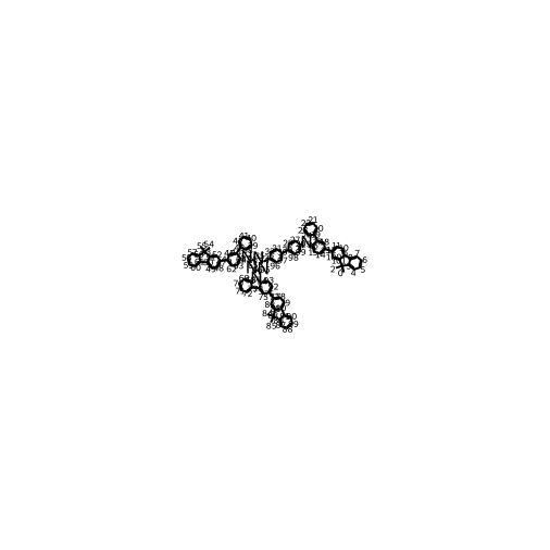 CC1(C)c2ccccc2-c2ccc(-c3ccc4c(c3)c3ccccc3n4-c3ccc(-c4ccc(-c5nc(-n6c7ccccc7c7cc(-c8ccc9c(c8)C(C)(C)c8ccccc8-9)ccc76)nc(-n6c7ccccc7c7cc(-c8ccc9c(c8)C(C)(C)c8ccccc8-9)ccc76)n5)cc4)cc3)cc21